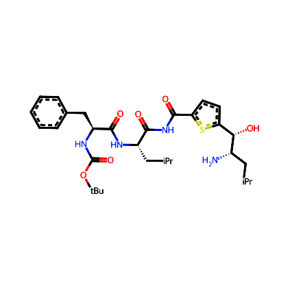 CC(C)C[C@H](NC(=O)[C@H](Cc1ccccc1)NC(=O)OC(C)(C)C)C(=O)NC(=O)c1ccc([C@H](O)[C@@H](N)CC(C)C)s1